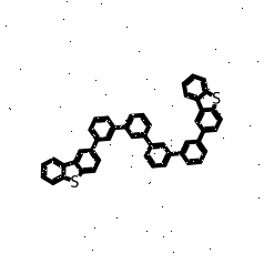 c1cc(-c2cccc(-c3cccc(-c4ccc5sc6ccccc6c5c4)c3)c2)cc(-c2cccc(-c3ccc4sc5ccccc5c4c3)c2)c1